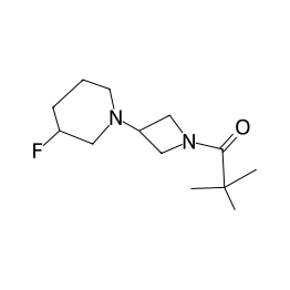 CC(C)(C)C(=O)N1CC(N2CCCC(F)C2)C1